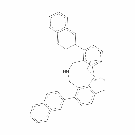 C1=c2ccccc2=CC(c2ccc3c4c2CNCc2c(-c5ccc6ccccc6c5)ccc5c2[C@@]4(CC5)CC3)C1